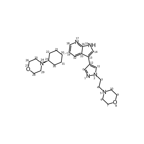 c1nn(CCN2CCOCC2)cc1-c1c[nH]c2ncc([C@H]3CC[C@H](N4CCOCC4)CC3)cc12